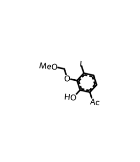 COCOc1c(I)ccc(C(C)=O)c1O